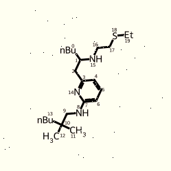 CCCCC(Cc1cccc(NCC(C)(C)CCCC)n1)NCCSCC